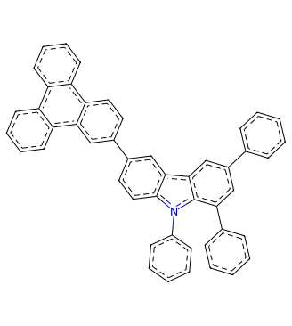 c1ccc(-c2cc(-c3ccccc3)c3c(c2)c2cc(-c4ccc5c6ccccc6c6ccccc6c5c4)ccc2n3-c2ccccc2)cc1